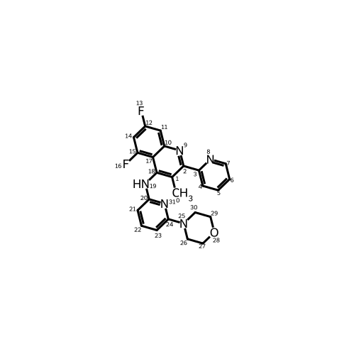 Cc1c(-c2ccccn2)nc2cc(F)cc(F)c2c1Nc1cccc(N2CCOCC2)n1